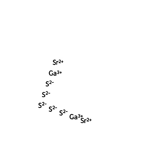 [Ga+3].[Ga+3].[S-2].[S-2].[S-2].[S-2].[S-2].[Sr+2].[Sr+2]